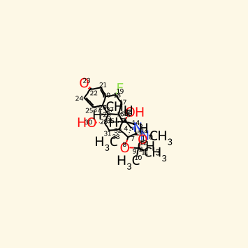 CN(C)/N=C(/CO)[C@@]12OC(C)(C)O[C@@H]1C[C@H]1[C@@H]3C[C@H](F)C4=CC(=O)C=C[C@]4(C)[C@H]3[C@@H](O)C[C@@]12C